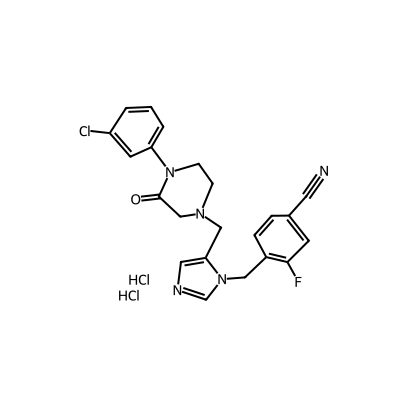 Cl.Cl.N#Cc1ccc(Cn2cncc2CN2CCN(c3cccc(Cl)c3)C(=O)C2)c(F)c1